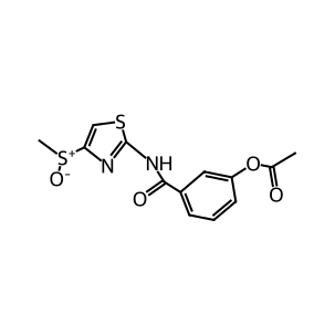 CC(=O)Oc1cccc(C(=O)Nc2nc([S+](C)[O-])cs2)c1